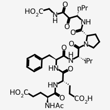 CCC[C@H](NC(=O)[C@@H]1CCCN1C(=O)[C@@H](NC(=O)[C@H](Cc1ccccc1)NC(=O)[C@H](CCC(=O)O)NC(=O)[C@H](CCC(=O)O)NC(C)=O)C(C)C)C(=O)C(=O)NCC(=O)O